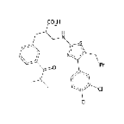 CC(C)Cc1sc(NCC(Cc2cccc(C(=O)N(C)C)c2)C(=O)O)nc1-c1ccc(Cl)c(Cl)c1